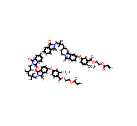 C=CC(=O)OCCOC(=O)c1ccc(Oc2ccc3c(c2)C(=O)N(CC(C)(C)CC(C)CCN2C(=O)c4ccc(Oc5ccc6c(c5)C(=O)N(CC(C)(C)CC(C)CCN5C(=O)c7ccc(Oc8ccc(C(=O)O)c(C(=O)OCCOC(=O)C=C)c8)cc7C5=O)C6=O)cc4C2=O)C3=O)cc1C(=O)O